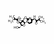 CC(C)C(=O)Nc1ccn([C@@H]2O[C@H](CO)C(OC(=O)C(C)C)C2(C)F)c(=O)n1